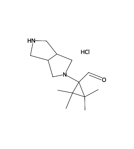 CC1(C)C(C)(C)C1(C=O)N1CC2CNCC2C1.Cl